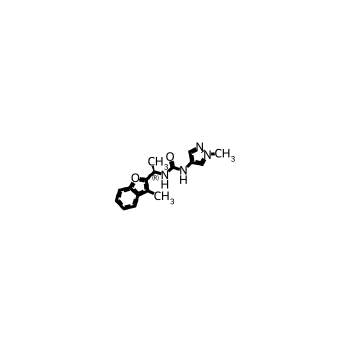 Cc1c([C@@H](C)NC(=O)Nc2cnn(C)c2)oc2ccccc12